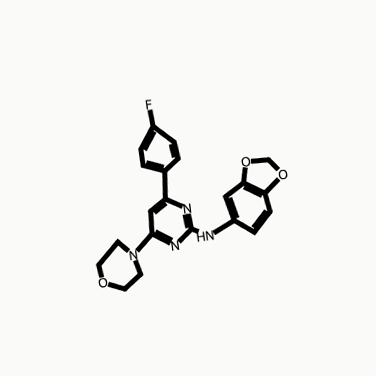 Fc1ccc(-c2cc(N3CCOCC3)nc(Nc3ccc4c(c3)OCO4)n2)cc1